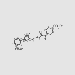 CCOC(=O)N1CCC(NC(=O)CSCc2nc(-c3cccc(OC)c3)oc2C)CC1